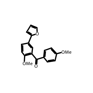 COc1ccc(C(=O)c2cc(-c3ccco3)ccc2OC)cc1